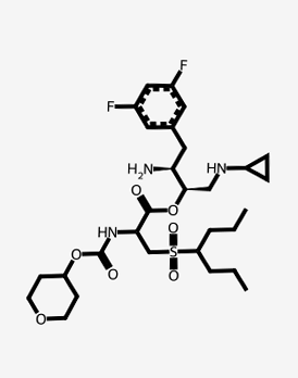 CCCC(CCC)S(=O)(=O)CC(NC(=O)OC1CCOCC1)C(=O)O[C@H](CNC1CC1)[C@@H](N)Cc1cc(F)cc(F)c1